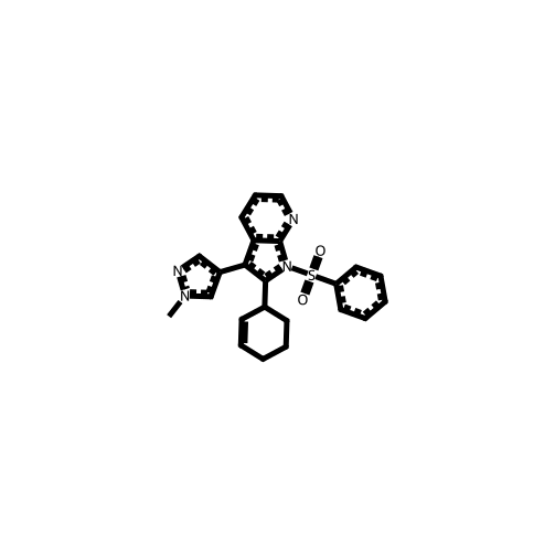 Cn1cc(-c2c(C3C=CCCC3)n(S(=O)(=O)c3ccccc3)c3ncccc23)cn1